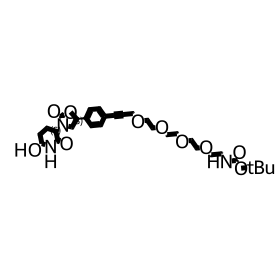 CC(C)(C)OC(=O)NCCOCCOCCOCCOCC#Cc1ccc([C@H]2CN([C@H]3CCC(O)NC3=O)C(=O)O2)cc1